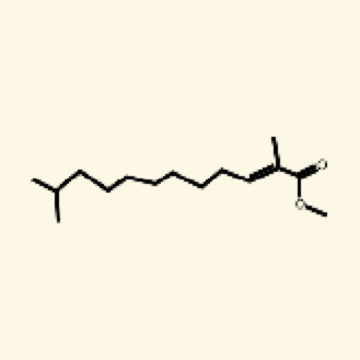 COC(=O)C(C)=CCCCCCCCC(C)C